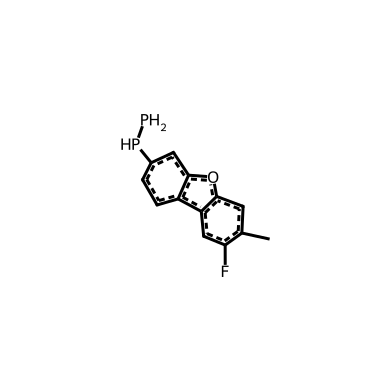 Cc1cc2oc3cc(PP)ccc3c2cc1F